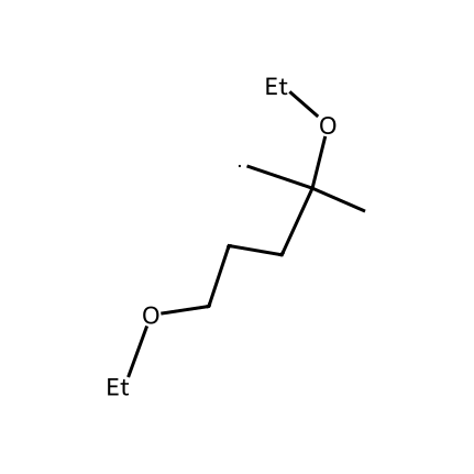 [CH2]C(C)(CCCOCC)OCC